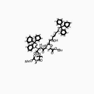 COC(=O)N(C)C(=O)C(C)(C)NC(=O)[C@@H](CSC(c1ccccc1)(c1ccccc1)c1ccccc1)NC(=O)[C@@H](CCC(=O)OC(C)(C)C)NC(=O)C[C@H](O)/C=C/CCSC(c1ccccc1)(c1ccccc1)c1ccccc1